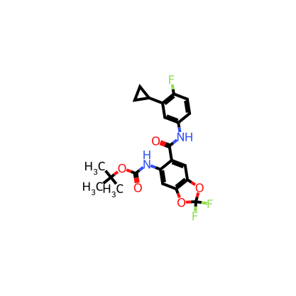 CC(C)(C)OC(=O)Nc1cc2c(cc1C(=O)Nc1ccc(F)c(C3CC3)c1)OC(F)(F)O2